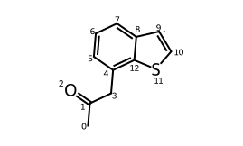 CC(=O)Cc1cccc2[c]csc12